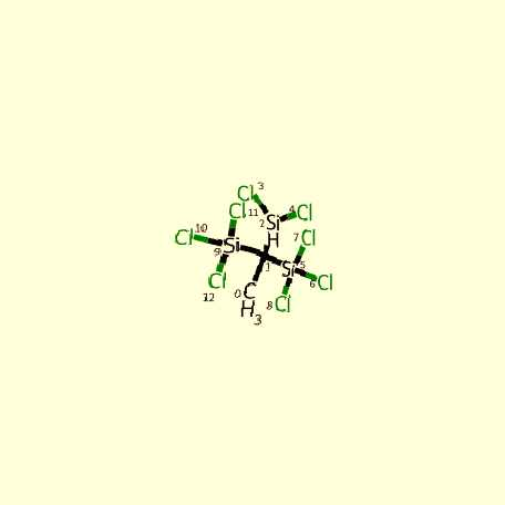 CC([SiH](Cl)Cl)([Si](Cl)(Cl)Cl)[Si](Cl)(Cl)Cl